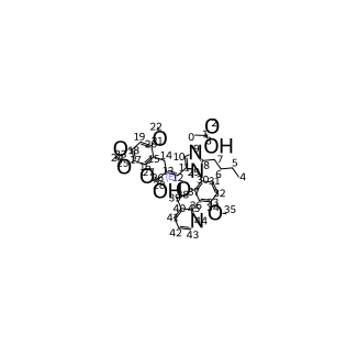 CC(=O)O.CCCCc1ncc(/C=C(\Cc2cc3c(cc2OC)OCO3)C(=O)O)n1-c1ccc(OC)cc1OCc1cccnc1